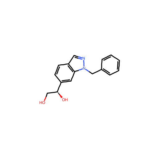 OC[C@H](O)c1ccc2cnn(Cc3ccccc3)c2c1